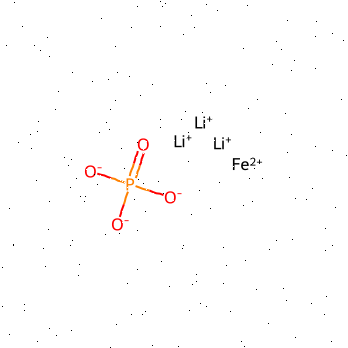 O=P([O-])([O-])[O-].[Fe+2].[Li+].[Li+].[Li+]